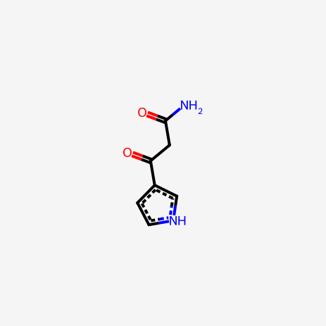 NC(=O)CC(=O)c1cc[nH]c1